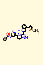 Cc1ccc(-c2cccc3[nH]c(-c4n[nH]c5ccc(-c6cncc(NC(O)C7CCC7)c6)nc45)cc23)s1